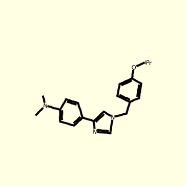 CC(C)Oc1ccc(Cn2cnc(-c3ccc(N(C)C)cc3)c2)cc1